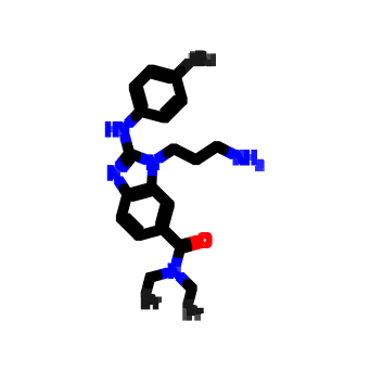 CC(C)CN(CC(C)C)C(=O)c1ccc2nc(Nc3ccc(C(C)(C)C)cc3)n(CCCN)c2c1